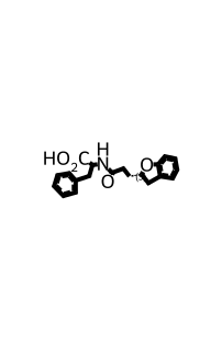 O=C(CC[C@H]1Cc2ccccc2O1)NC(Cc1ccccc1)C(=O)O